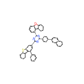 c1ccc(-c2cc(-c3nc(-c4ccc(-c5ccc6ccccc6c5)cc4)nc(-c4cccc5oc6ccccc6c45)n3)cc3sc4ccccc4c23)cc1